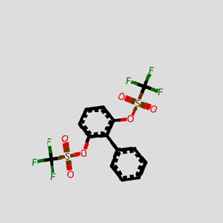 O=S(=O)(Oc1cccc(OS(=O)(=O)C(F)(F)F)c1-c1ccccc1)C(F)(F)F